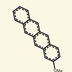 COc1ccc2cc3cc4ccccc4cc3cc2c1